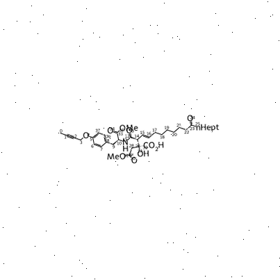 CC#CCOc1ccc(C[C@H](NC(=O)[C@@H](/C=C/CCCCCCC(=O)CCCCCCC)[C@@](O)(CC(=O)OC)C(=O)O)C(=O)OC)cc1